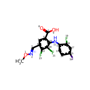 CO/N=C/c1cc(C(=O)O)c(Nc2ccc(I)cc2F)c(F)c1F